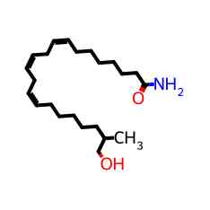 CC(CO)CCCCC/C=C\C/C=C\C/C=C\CCCCCCC(N)=O